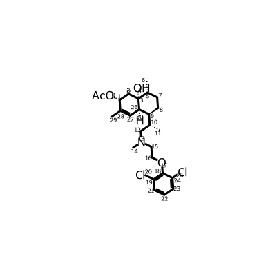 CC(=O)O[C@@H]1[C][C@@]2(O)[C@H](C)CC[C@@H]([C@H](C)CN(C)CCOc3c(Cl)cccc3Cl)[C@H]2C=C1C